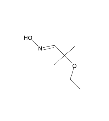 CCOC(C)(C)C=NO